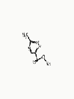 CCOC(=O)c1cnc(C)nn1